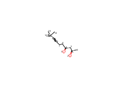 CC(=O)CC(=O)CCC#C[Si](C)(C)C